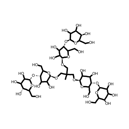 CC(CO[C@@H]1OC(CO)[C@@H](O[C@@H]2OC(CO)[C@H](O)C(O)C2O)C(O)C1O)(CO[C@@H]1OC(CO)[C@@H](O[C@@H]2OC(CO)[C@H](O)C(O)C2O)C(O)C1O)CO[C@@H]1OC(CO)[C@@H](O[C@@H]2OC(CO)[C@H](O)C(O)C2O)C(O)C1O